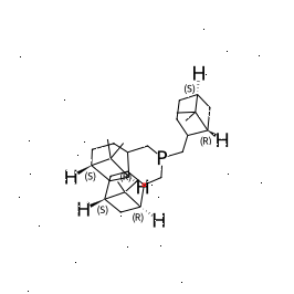 CC1(C)[C@H]2CCC(CP(CC3CC[C@H]4C[C@H]3C4(C)C)CC3CC[C@H]4C[C@H]3C4(C)C)[C@H]1C2